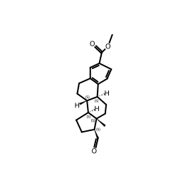 COC(=O)c1ccc2c(c1)CC[C@@H]1[C@@H]2CC[C@]2(C)[C@@H](C=O)CC[C@@H]12